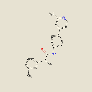 Cc1cccc(C(C(=O)Nc2ccc(-c3ccnc(C)c3)cc2)C(C)C)c1